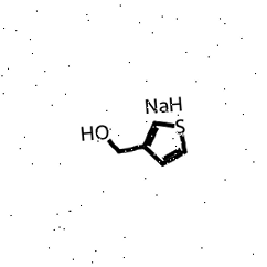 OCc1ccsc1.[NaH]